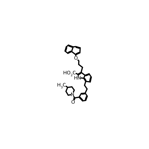 CC1CCN(C(=O)c2cccc(CCc3cccc4c(CCCOc5cccc6ccccc56)c(C(=O)O)[nH]c34)c2)CC1